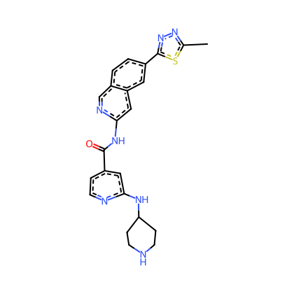 Cc1nnc(-c2ccc3cnc(NC(=O)c4ccnc(NC5CCNCC5)c4)cc3c2)s1